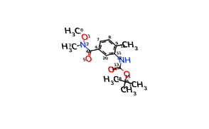 CON(C)C(=O)c1ccc(C)c(NC(=O)OC(C)(C)C)c1